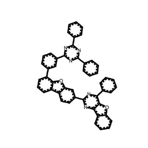 c1ccc(-c2nc(-c3ccccc3)nc(-c3cccc(-c4cccc5c4oc4cc(-c6nc(-c7ccccc7)c7oc8ccccc8c7n6)ccc45)c3)n2)cc1